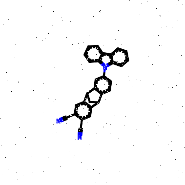 N#Cc1cc2c(cc1C#N)C1CC2c2ccc(-n3c4ccccc4c4ccccc43)cc21